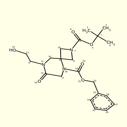 CC(C)(C)OC(=O)N1CC2(CN(CCO)C(=O)CN2C(=O)OCc2ccccc2)C1